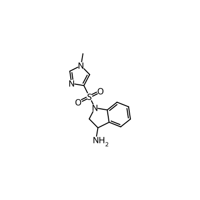 Cn1cnc(S(=O)(=O)N2CC(N)c3ccccc32)c1